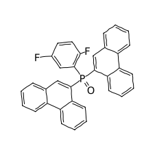 O=P(c1cc(F)ccc1F)(c1cc2ccccc2c2ccccc12)c1cc2ccccc2c2ccccc12